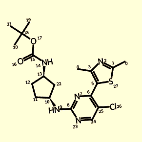 Cc1nc(C)c(-c2nc(N[C@H]3CC[C@@H](NC(=O)OC(C)(C)C)C3)ncc2Cl)s1